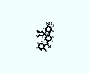 C=CCC1(CC=C)c2cc(C(=O)c3ccccc3C)ccc2-c2ccc([N+](=O)[O-])cc21